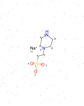 O=S(=O)([O-])CCN1CCNCC1.[Na+]